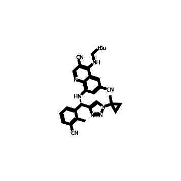 Cc1c(C#N)cccc1[C@H](Nc1cc(C#N)cc2c(NCC(C)(C)C)c(C#N)cnc12)c1cn(C2(C)CC2)nn1